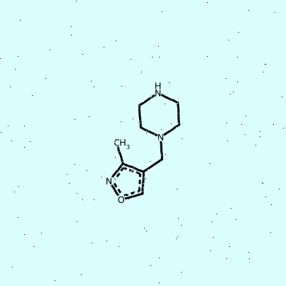 Cc1nocc1CN1CCNCC1